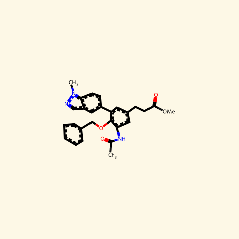 COC(=O)CCc1cc(NC(=O)C(F)(F)F)c(OCc2ccccc2)c(-c2ccc3c(cnn3C)c2)c1